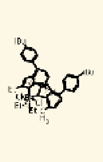 CCC1=Cc2c(-c3ccc(C(C)CC)cc3)ccc(C)c2[CH]1[Zr]([Cl])([Cl])([CH]1C(C)=Cc2c(-c3ccc(C(C)CC)cc3)ccc(C)c21)[SiH](CC)CC